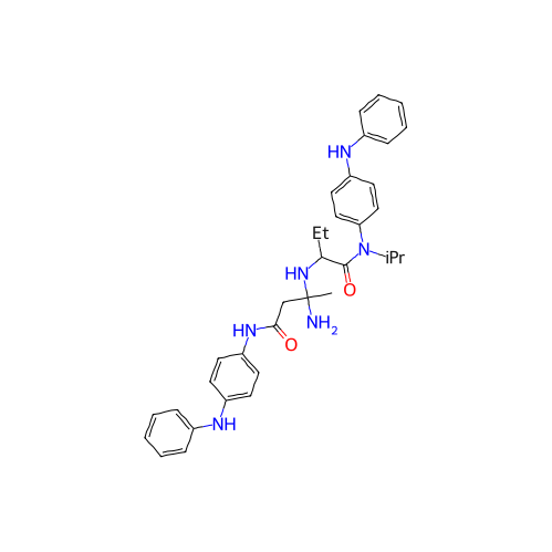 CCC(NC(C)(N)CC(=O)Nc1ccc(Nc2ccccc2)cc1)C(=O)N(c1ccc(Nc2ccccc2)cc1)C(C)C